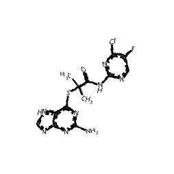 CC(C)(Sc1nc(N)nc2nc[nH]c12)C(=O)Nc1ncc(F)c(Cl)n1